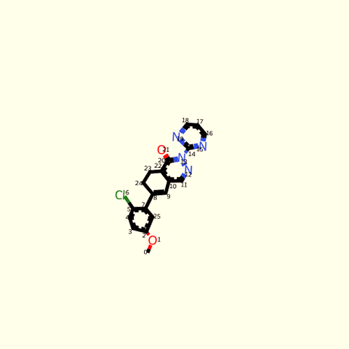 COc1ccc(Cl)c(C2=Cc3cnn(-c4ncccn4)c(=O)c3CC2)c1